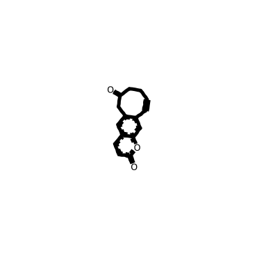 O=C1CCC#Cc2cc3oc(=O)ccc3cc2C1